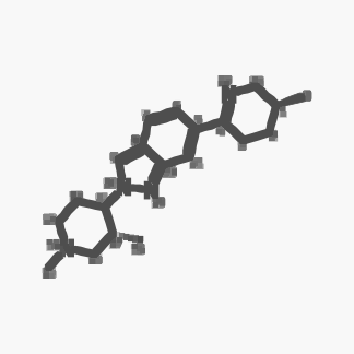 C[C@H]1CCC(c2ccc3cn(C4CCN(C)C[C@H]4C)nc3c2)=NC1